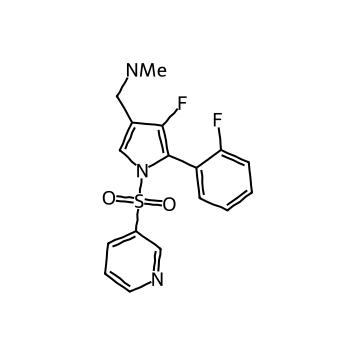 CNCc1cn(S(=O)(=O)c2cccnc2)c(-c2ccccc2F)c1F